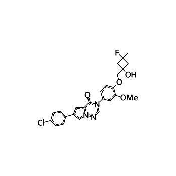 COc1cc(-n2cnn3cc(-c4ccc(Cl)cc4)cc3c2=O)ccc1OCC1(O)CC(C)(F)C1